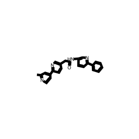 Cc1cc(-c2ccc(CC(=O)Nc3ccc(-c4ccccc4)nc3)cn2)ccn1